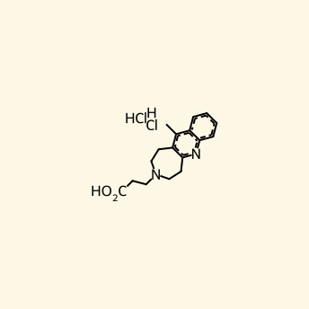 Cc1c2c(nc3ccccc13)CCN(CCC(=O)O)CC2.Cl.Cl